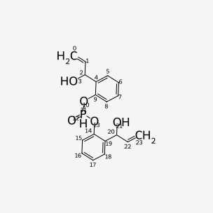 C=CC(O)c1ccccc1O[PH](=O)Oc1ccccc1C(O)C=C